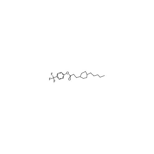 CCCCCC1CCC(CCC(=O)Oc2ccc(C(F)(F)F)cc2)CC1